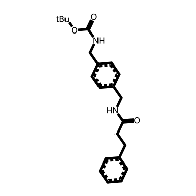 CC(C)(C)OC(=O)NCc1ccc(CNC(=O)[CH]Cc2ccccc2)cc1